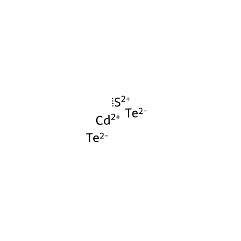 [Cd+2].[S+2].[Te-2].[Te-2]